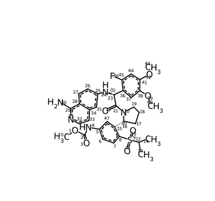 COC(=O)Nc1ccc(S(=O)(=O)C(C)C)c([C@H]2CCCN2C(=O)[C@@H](Nc2ccc3c(N)nccc3c2)c2cc(OC)c(OC)cc2F)c1